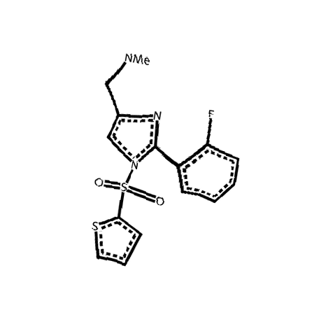 CNCc1cn(S(=O)(=O)c2cccs2)c(-c2ccccc2F)n1